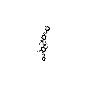 O=C(NS(=O)(=O)c1ccc(OCc2cccnc2)cc1)c1cc(Cl)c(OCC2CCCC2)cc1F